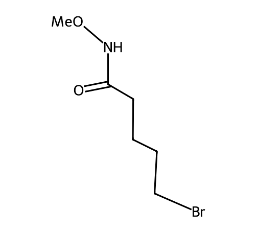 CONC(=O)CCCCBr